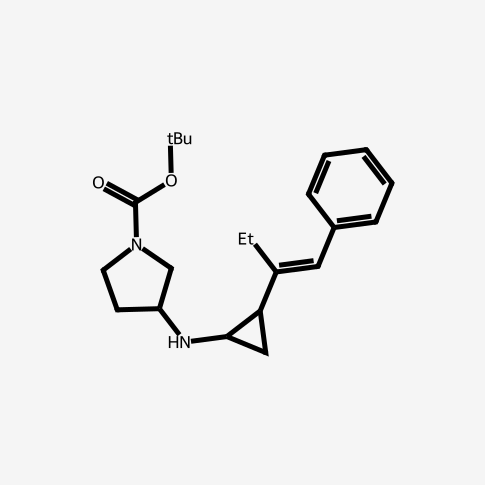 CC/C(=C\c1ccccc1)C1CC1NC1CCN(C(=O)OC(C)(C)C)C1